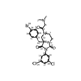 CN(C)CC(=O)N1CCN2C(=O)N(c3cc(Cl)cc(Cl)c3)C(=O)C2(Cc2ccc(Br)cc2)C1